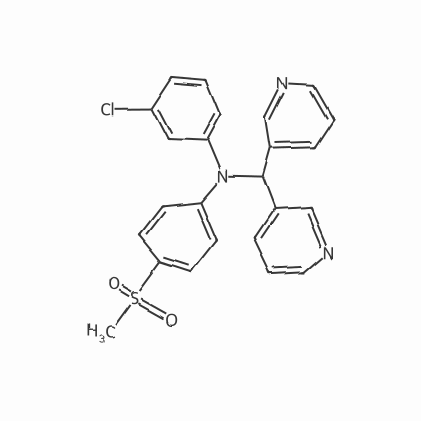 CS(=O)(=O)c1ccc(N(c2cccc(Cl)c2)C(c2cccnc2)c2cccnc2)cc1